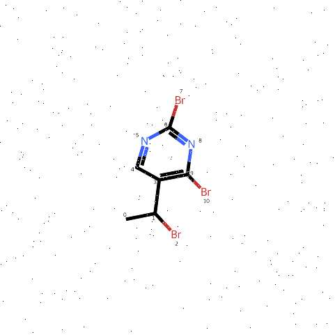 CC(Br)c1cnc(Br)nc1Br